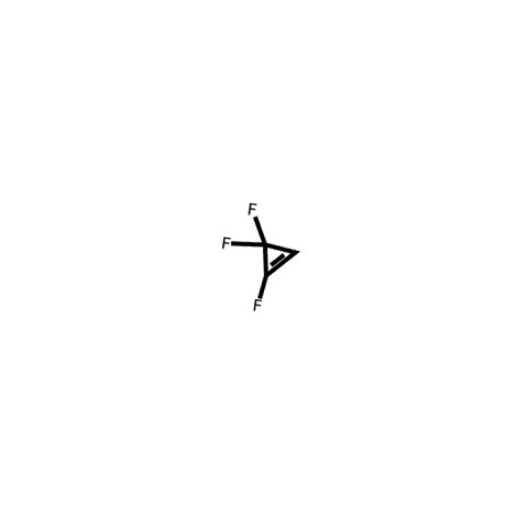 FC1=CC1(F)F